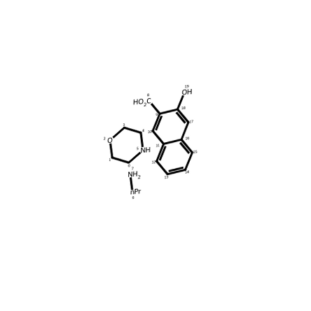 C1COCCN1.CCCN.O=C(O)c1cc2ccccc2cc1O